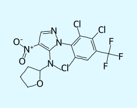 CN(c1c([N+](=O)[O-])cnn1-c1c(Cl)cc(C(F)(F)F)c(Cl)c1Cl)C1CCCO1